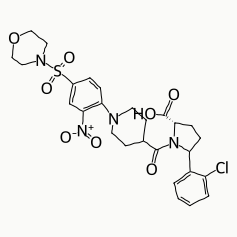 O=C(O)[C@@H]1CCC(c2ccccc2Cl)N1C(=O)C1CCN(c2ccc(S(=O)(=O)N3CCOCC3)cc2[N+](=O)[O-])CC1